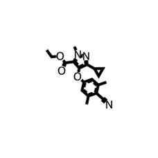 CCOC(=O)c1c(Oc2cc(C)c(C#N)c(C)c2)c(C2CC2)nn1C